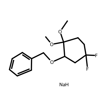 COC1(OC)CCC(F)(F)CC1OCc1ccccc1.[NaH]